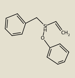 C=C[SiH](Cc1ccccc1)Oc1ccccc1